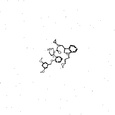 COCCCN1CC(CN(C(=O)[C@H]2CNCC[C@@H]2c2ccccc2OCc2cc(OC)cc(OC)c2)C2CC2)c2ccccc21